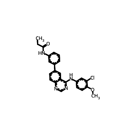 CCC(=O)Nc1cccc(-c2ccc3ncnc(Nc4ccc(OC)c(Cl)c4)c3c2)c1